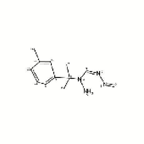 C=N/N=C\N(N)C(C)(C)c1cccc(C)c1